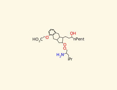 CCCCCC(O)CCC1C(OOCC(N)CC(C)C)CC2Cc3c(cccc3OCC(=O)O)CC21